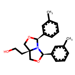 Cc1cccc([C@H]2OC[C@]3(CCO)CO[C@@H](c4cccc(C)c4)N23)c1